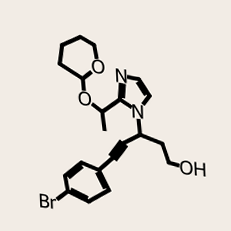 CC(OC1CCCCO1)c1nccn1C(C#Cc1ccc(Br)cc1)CCO